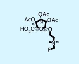 CC(=O)O[C@@H]1[C@@H](OC(C)=O)[C@H](OCC[N+](C)(C)CF)O[C@H](C(=O)O)[C@H]1OC(C)=O